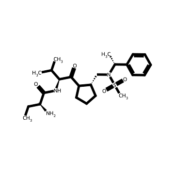 CC[C@H](N)C(=O)N[C@H](C(=O)C1CCC[C@H]1CN([C@H](C)c1ccccc1)S(C)(=O)=O)C(C)C